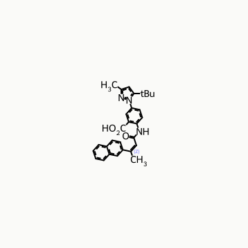 C/C(=C/C(=O)Nc1ccc(-n2nc(C)cc2C(C)(C)C)cc1C(=O)O)c1ccc2ccccc2c1